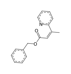 CC(=CC(=O)OCc1ccccc1)c1ccccn1